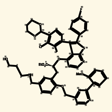 CCOC(=O)[C@@H](Cc1cc(CNCCCO)ccc1OCc1ccnc(-c2ccccc2OC)n1)Oc1ncnc2sc(-c3ccc(F)cc3)c(-c3ccc(C4OCCCO4)c(Cl)c3C)c12